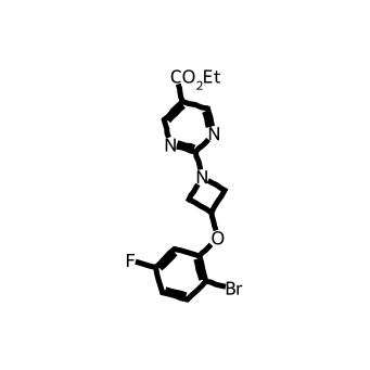 CCOC(=O)c1cnc(N2CC(Oc3cc(F)ccc3Br)C2)nc1